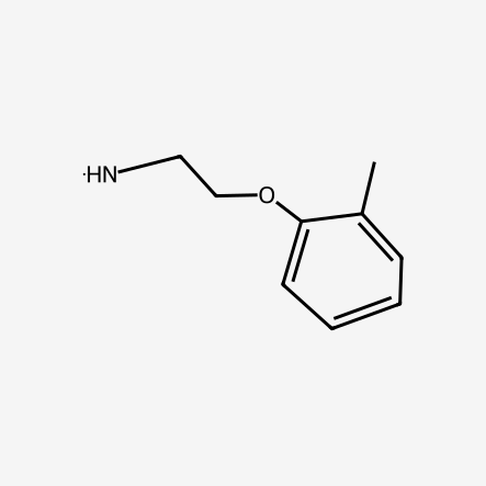 Cc1ccccc1OCC[NH]